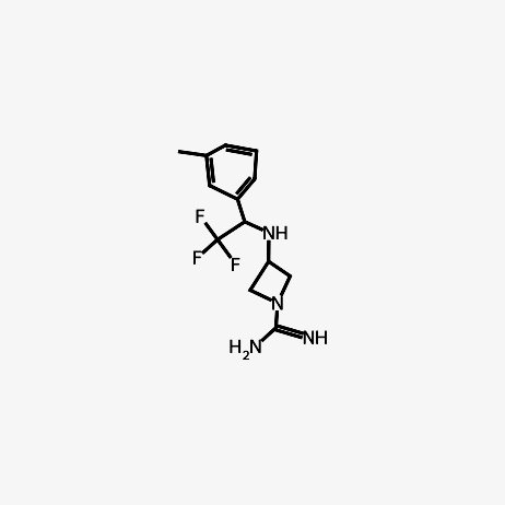 Cc1cccc(C(NC2CN(C(=N)N)C2)C(F)(F)F)c1